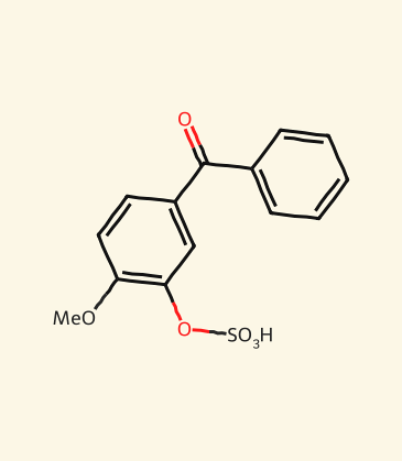 COc1ccc(C(=O)c2ccccc2)cc1OS(=O)(=O)O